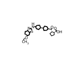 CCOc1ccc2nc(Nc3ccc(-c4ccc(C(=O)[C@H]5CCC[C@@H]5C(=O)O)cc4)cc3)sc2c1